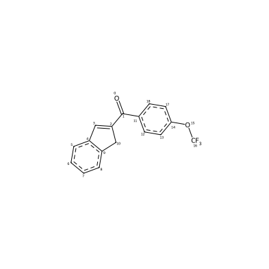 O=C(C1=Cc2ccccc2C1)c1ccc(OC(F)(F)F)cc1